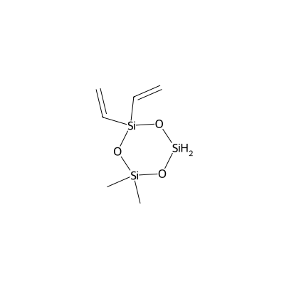 C=C[Si]1(C=C)O[SiH2]O[Si](C)(C)O1